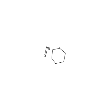 [CH]1CCCCC1.[S]=[Ag]